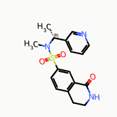 C[C@H](c1cccnc1)N(C)S(=O)(=O)c1ccc2c(c1)C(=O)NCC2